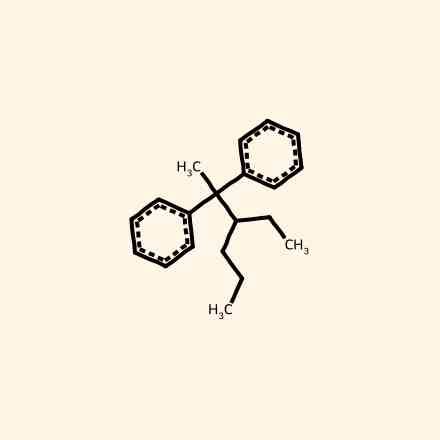 CCC[C](CC)C(C)(c1ccccc1)c1ccccc1